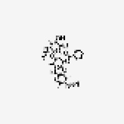 CCC1O[C@H](O[C@@H]2C(C)O[C@H](O[C@@H]3[C@H](CC)O[C@H](C)C(N=[N+]=[N-])[C@H]3C)C(OC(=O)c3ccccc3)[C@H]2C)C(N=[N+]=[N-])[C@@H](C)[C@@H]1O